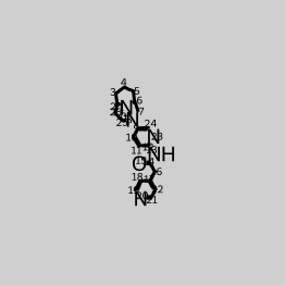 CN1C2CCCC1CN(c1ccc(NC(=O)Cc3ccncc3)nc1)CC2